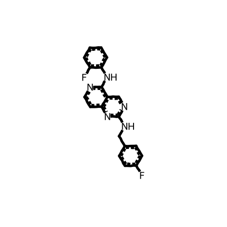 Fc1ccc(CNc2ncc3c(Nc4ccccc4F)nccc3n2)cc1